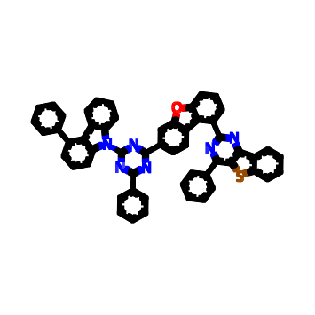 c1ccc(-c2nc(-c3ccc4c(c3)oc3cccc(-c5nc(-c6ccccc6)c6sc7ccccc7c6n5)c34)nc(-n3c4ccccc4c4c(-c5ccccc5)cccc43)n2)cc1